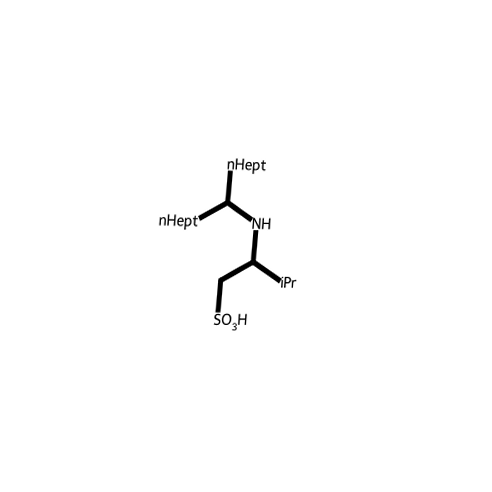 CCCCCCCC(CCCCCCC)NC(CS(=O)(=O)O)C(C)C